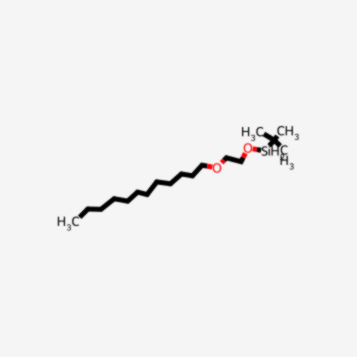 CCCCCCCCCCCCOCCO[SiH2]C(C)(C)C